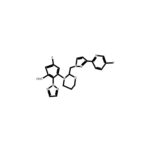 O=Cc1cc(F)cc(N2CCCOC2Cn2ccc(-c3ccc(F)cn3)n2)c1-n1nccn1